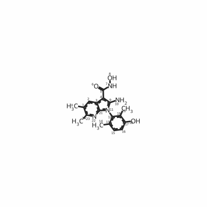 Cc1cc2c(C(=O)NO)c(N)n(-c3c(C)ccc(O)c3C)c2nc1C